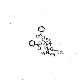 CC(C)N(C(C)C)P(OCCC#N)OC1C(C)(C)SSC1(COC(=O)c1ccccc1)COC(=O)c1ccccc1